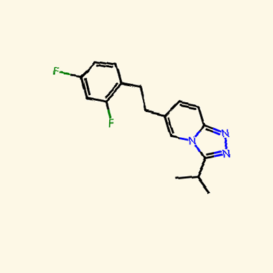 CC(C)c1nnc2ccc(CCc3ccc(F)cc3F)cn12